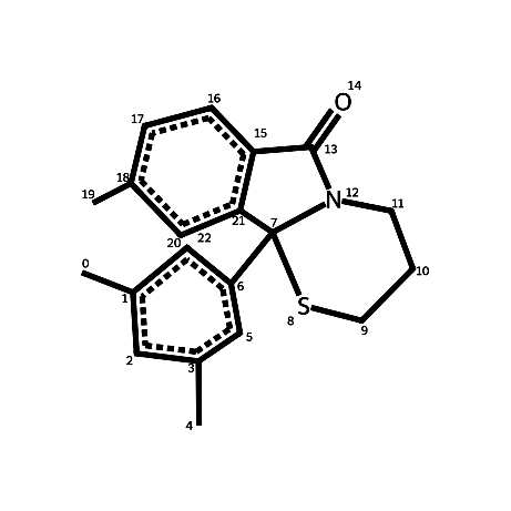 Cc1cc(C)cc(C23SCCCN2C(=O)c2ccc(C)cc23)c1